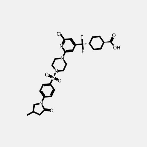 CC1CC(=O)N(c2ccc(S(=O)(=O)N3CCN(c4cc(C(F)(F)[C@H]5CC[C@H](C(=O)O)CC5)cc(Cl)n4)CC3)cc2)C1